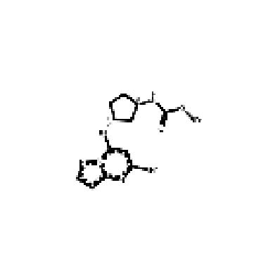 CC(C)OC(=O)N[C@@H]1CC[C@@H](Nc2cc(C(C)C)nc3ccnn23)C1